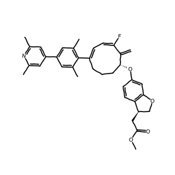 C=C1/C(F)=C\C=C(\c2c(C)cc(-c3cc(C)nc(C)c3)cc2C)CCC[C@H]1Oc1ccc2c(c1)OC[C@H]2CC(=O)OC